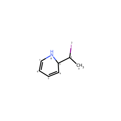 CC(I)C1C=CC=CN1